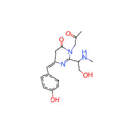 CNC(CO)C1=N/C(=C\c2ccc(O)cc2)CC(=O)N1CC(C)=O